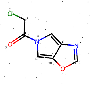 O=C(CCl)n1cc2ncoc2c1